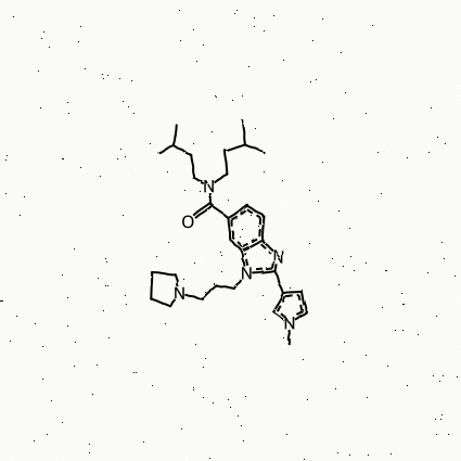 CC(C)CCN(CCC(C)C)C(=O)c1ccc2nc(-c3ccn(C)c3)n(CCCN3CCCC3)c2c1